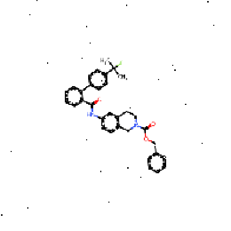 CC(C)(F)c1ccc(-c2ccccc2C(=O)Nc2ccc3c(c2)CCN(C(=O)OCc2ccccc2)C3)cc1